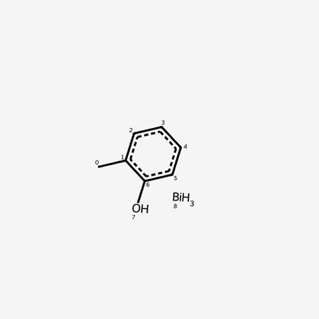 Cc1ccccc1O.[BiH3]